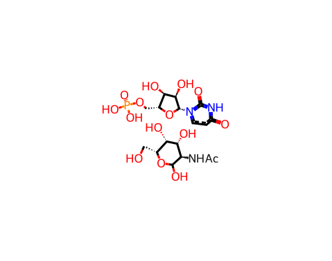 CC(=O)N[C@H]1C(O)O[C@H](CO)[C@H](O)[C@@H]1O.O=c1ccn([C@@H]2O[C@H](COP(=O)(O)O)[C@@H](O)[C@H]2O)c(=O)[nH]1